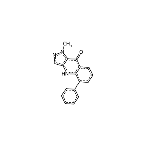 Cn1ncc2[nH]c3c(-c4ccccc4)cccc3c(=O)c21